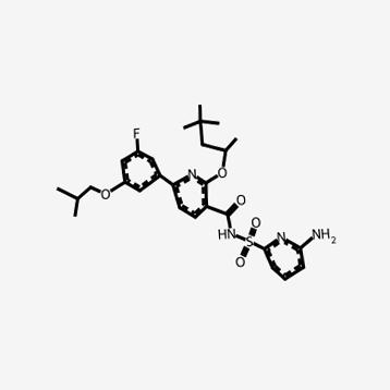 CC(C)COc1cc(F)cc(-c2ccc(C(=O)NS(=O)(=O)c3cccc(N)n3)c(OC(C)CC(C)(C)C)n2)c1